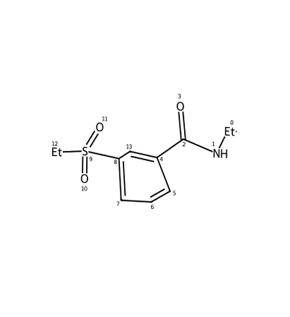 C[CH]NC(=O)c1cccc(S(=O)(=O)CC)c1